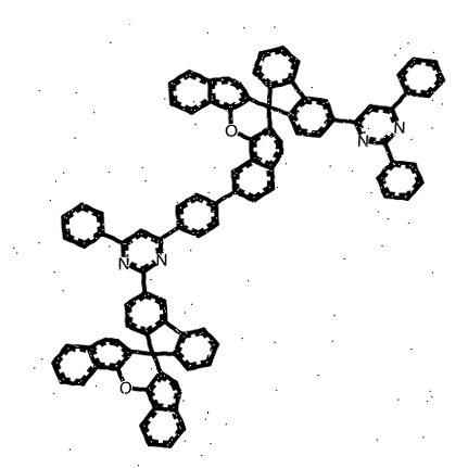 c1ccc(-c2cc(-c3ccc4c(c3)-c3ccccc3C43c4ccc5ccccc5c4Oc4c3ccc3ccc(-c5ccc(-c6cc(-c7ccccc7)nc(-c7ccc8c(c7)-c7ccccc7C87c8ccc9ccccc9c8Oc8c7ccc7ccccc87)n6)cc5)cc43)nc(-c3ccccc3)n2)cc1